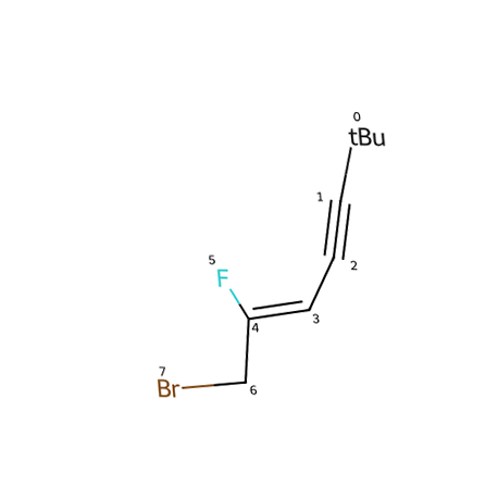 CC(C)(C)C#CC=C(F)CBr